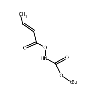 CC=CC(=O)ONC(=O)OC(C)(C)C